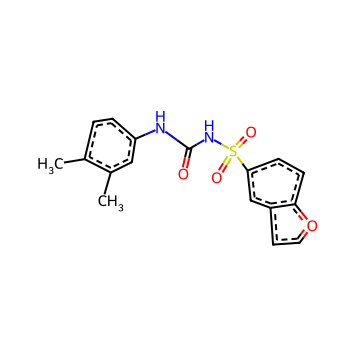 Cc1ccc(NC(=O)NS(=O)(=O)c2ccc3occc3c2)cc1C